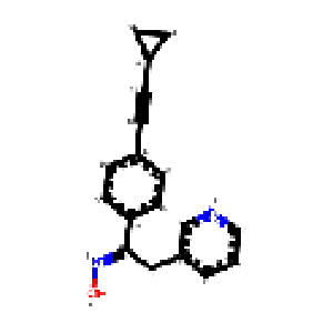 O/N=C(\Cc1cccnc1)c1ccc(C#CC2CC2)cc1